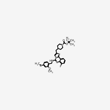 COc1ccc(CNc2nc3c(F)cccc3c3nc(CC4CCN(C(=O)OC(C)(C)C)CC4)cn23)c(OC)c1